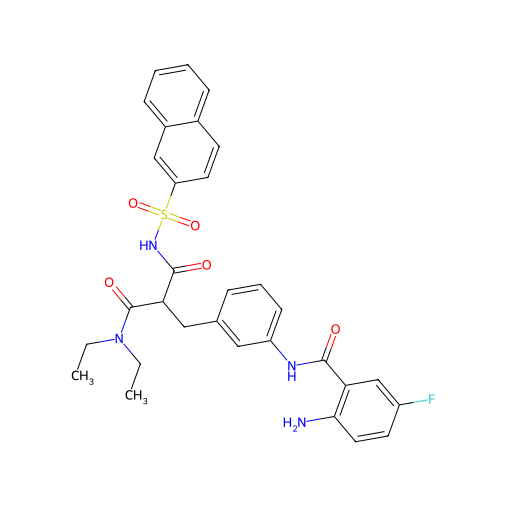 CCN(CC)C(=O)C(Cc1cccc(NC(=O)c2cc(F)ccc2N)c1)C(=O)NS(=O)(=O)c1ccc2ccccc2c1